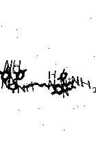 CC1=CC2=Nc3cc(C)c(N)cc3N(c3ccc(C)cc3C)C2C=C1NCCCCCCCCNc1cc2c(cc1C)nc1cc(C)c(N)cc1[n+]2-c1ccc(C)cc1C